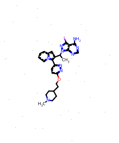 CC(c1cc2ccccn2c1-c1ccc(OCCC2CCN(C)CC2)nn1)n1nc(I)c2c(N)ncnc21